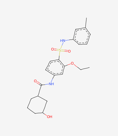 CCOc1cc(NC(=O)C2CCCC(O)C2)ccc1S(=O)(=O)Nc1cccc(C)c1